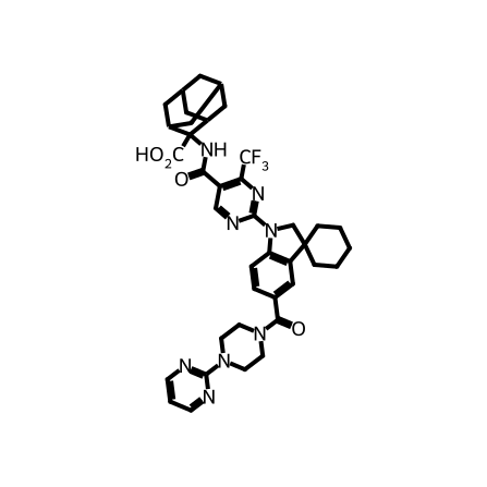 O=C(NC1(C(=O)O)C2CC3CC(C2)CC1C3)c1cnc(N2CC3(CCCCC3)c3cc(C(=O)N4CCN(c5ncccn5)CC4)ccc32)nc1C(F)(F)F